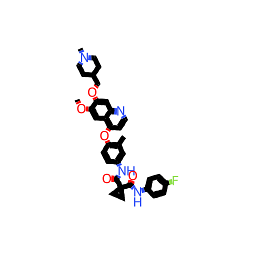 COc1cc2c(Oc3ccc(NC(=O)C4(C(=O)Nc5ccc(F)cc5)CC4)cc3C)ccnc2cc1OCC1CCN(C)CC1